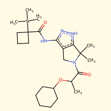 CC(OC1CCCCC1)C(=O)N1Cc2c(NC(=O)C3([Si](C)(C)C)CCC3)n[nH]c2C1(C)C